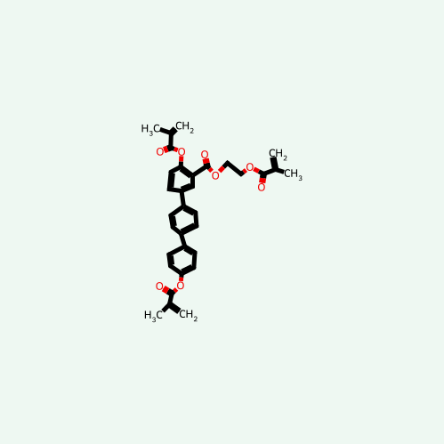 C=C(C)C(=O)OCCOC(=O)c1cc(-c2ccc(-c3ccc(OC(=O)C(=C)C)cc3)cc2)ccc1OC(=O)C(=C)C